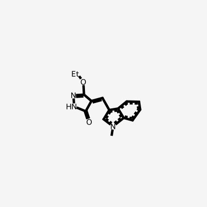 CCOC1=NNC(=O)C1=Cc1cn(C)c2ccccc12